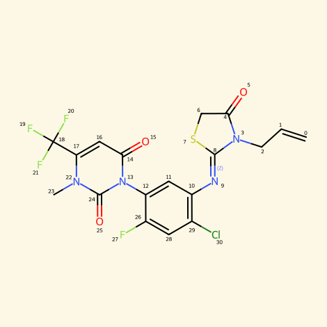 C=CCN1C(=O)CS/C1=N\c1cc(-n2c(=O)cc(C(F)(F)F)n(C)c2=O)c(F)cc1Cl